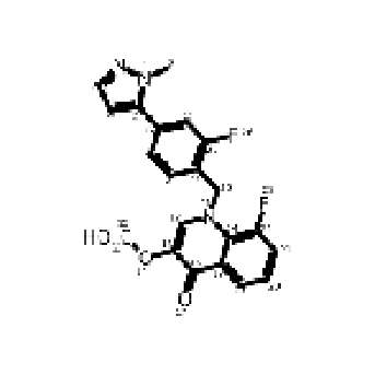 Cn1nccc1-c1ccc(Cn2cc(OC(=O)O)c(=O)c3cccc(F)c32)c(F)c1